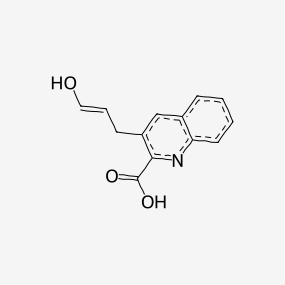 O=C(O)c1nc2ccccc2cc1CC=CO